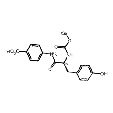 CC(C)(C)OC(=O)N[C@@H](Cc1ccc(O)cc1)C(=O)Nc1ccc(C(=O)O)cc1